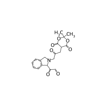 CC1(C)OC(=O)C(CC(=O)CN2Cc3ccccc3C2C(=O)C=O)C(=O)O1